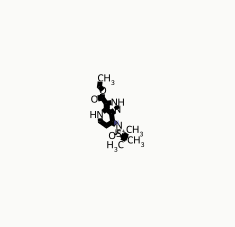 CCOC(=O)c1[nH]nc2c1NCC/C2=N\[S@@+]([O-])C(C)(C)C